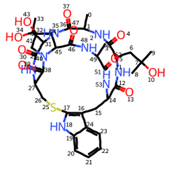 CC1NC(=O)C(CC(C)(C)O)NC(=O)C2Cc3c([nH]c4ccccc34)SCC(NC(=O)C(C(C)O)NC1=O)C(=O)N1CC(O)CC1C(=O)NC(C)C(=O)N2